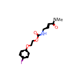 CNC(=O)/C=C/CNC(=O)OCCOc1ccc(I)cc1